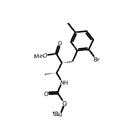 COC(=O)[C@H](Cc1cc(C)ccc1Br)[C@@H](C)NC(=O)OC(C)(C)C